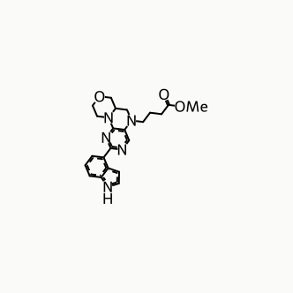 COC(=O)CCCN1CC2COCCN2c2nc(-c3cccc4[nH]ccc34)ncc21